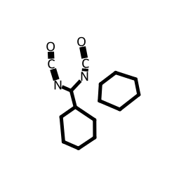 C1CCCCC1.O=C=NC(N=C=O)C1CCCCC1